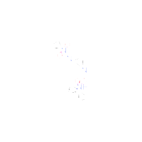 CN(CCN1C(=O)c2ccccc2C1=O)Cc1ccc(CN2CCC(OC(=O)Nc3ccccc3-c3ccccc3)CC2)cc1